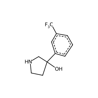 OC1(c2cccc(C(F)(F)F)c2)CCNC1